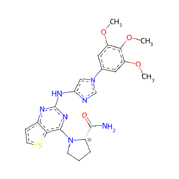 COc1cc(-n2cnc(Nc3nc(N4CCC[C@H]4C(N)=O)c4sccc4n3)c2)cc(OC)c1OC